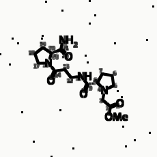 COC(=O)CN1CCC[C@H]1C(=O)NCCC(=O)N1CCC[C@H]1C(N)=O